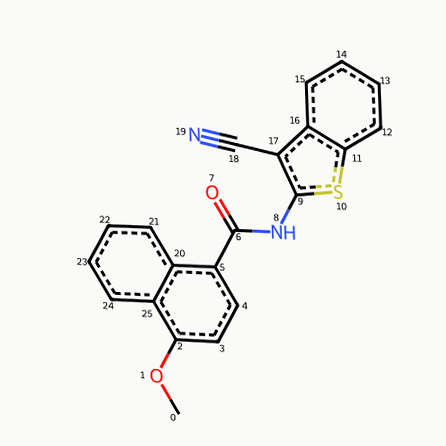 COc1ccc(C(=O)Nc2sc3ccccc3c2C#N)c2ccccc12